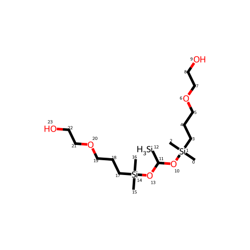 C[Si](C)(CCCOCCO)OC([SiH3])O[Si](C)(C)CCCOCCO